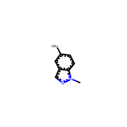 CCCCc1ccc2c(cnn2C)c1